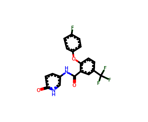 O=C(Nc1ccc(=O)[nH]c1)c1cc(C(F)(F)F)ccc1Oc1ccc(F)cc1